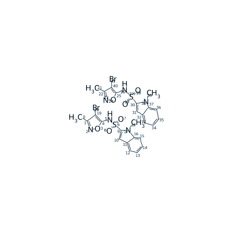 Cc1noc(NS(=O)(=O)c2cc3ccccc3n2C)c1Br.Cc1noc(NS(=O)(=O)c2cc3ccccc3n2C)c1Br